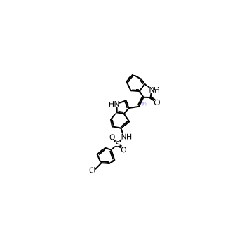 O=C1Nc2ccccc2/C1=C\c1c[nH]c2ccc(NS(=O)(=O)c3ccc(Cl)cc3)cc12